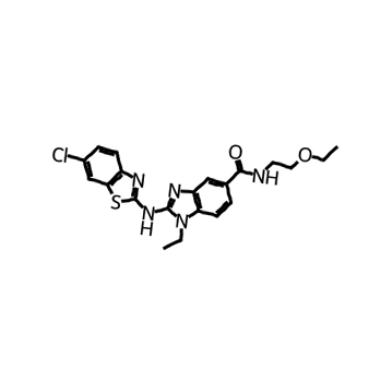 CCOCCNC(=O)c1ccc2c(c1)nc(Nc1nc3ccc(Cl)cc3s1)n2CC